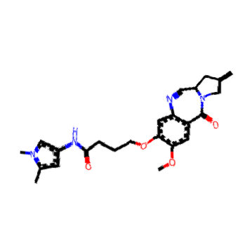 C=C1CC2C=Nc3cc(OCCCC(=O)Nc4cc(C)n(C)c4)c(OC)cc3C(=O)N2C1